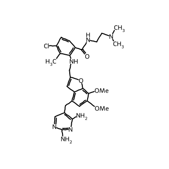 COc1cc(Cc2cnc(N)nc2N)c2cc(CNc3c(C(=O)NCCN(C)C)ccc(Cl)c3C)oc2c1OC